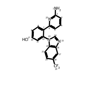 Cl.Nc1cccc(-c2ccccc2-n2cnc3cc(C(F)(F)F)ccc32)n1